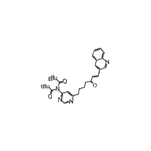 CC(C)(C)C(=O)N(C(=O)C(C)(C)C)c1cc(CCCCC(=O)C=Cc2cnc3ccccc3c2)ncn1